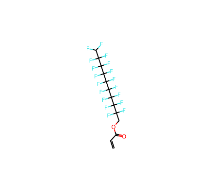 C=CC(=O)OCC(F)(F)C(F)(F)C(F)(F)C(F)(F)C(F)(F)C(F)(F)C(F)(F)C(F)(F)C(F)F